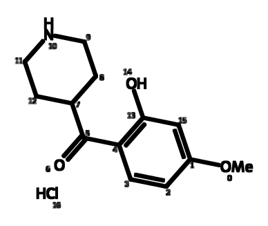 COc1ccc(C(=O)C2CCNCC2)c(O)c1.Cl